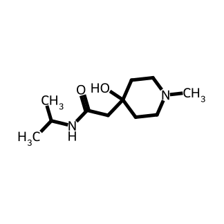 CC(C)NC(=O)CC1(O)CCN(C)CC1